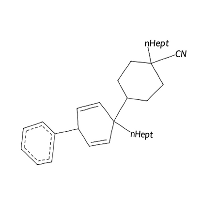 CCCCCCCC1(C#N)CCC(C2(CCCCCCC)C=CC(c3ccccc3)C=C2)CC1